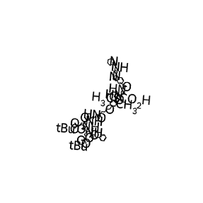 Cc1cc(OCCCC(=O)NCCNC(=O)[C@H](CCC(=O)OC(C)(C)C)NC(=O)[C@H](CCC(=O)OC(C)(C)C)NC(=O)OCc2ccccc2)cc(C)c1S(=O)(=O)N[C@@H](CNC(=O)c1ccc2c(cnn2CCNC2=NCCCC2)c1)C(=O)O